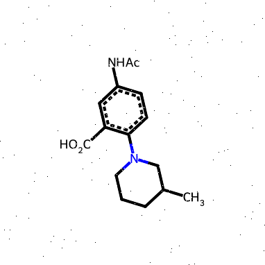 CC(=O)Nc1ccc(N2CCCC(C)C2)c(C(=O)O)c1